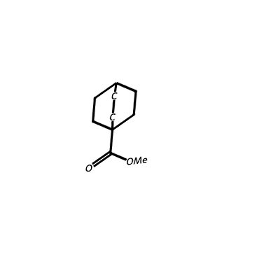 COC(=O)C12CCC(CC1)CC2